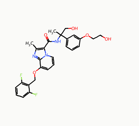 Cc1nc2c(OCc3c(F)cccc3F)cccn2c1C(=O)NC(C)(CO)c1cccc(OCCO)c1